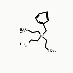 CCCCCCCCCCCC[N+](CCC(=O)O)(CCC(=O)O)Cc1ccccc1.[Cl-]